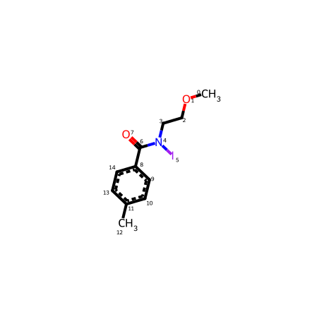 COCCN(I)C(=O)c1ccc(C)cc1